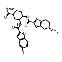 CNC(=O)C1CCC(NC(=O)c2nc3c(s2)CN(C)CC3)C(NC(=O)c2cc3cc(Cl)ccc3[nH]2)C1